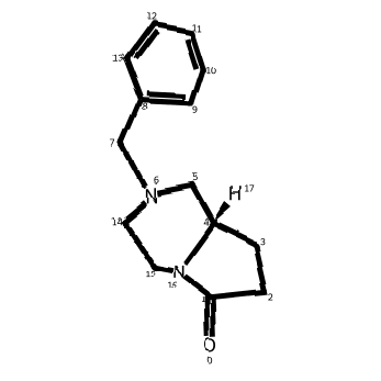 O=C1CC[C@H]2CN(Cc3ccccc3)CCN12